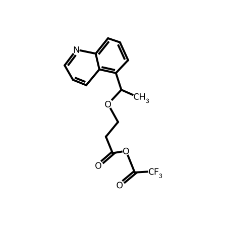 CC(OCCC(=O)OC(=O)C(F)(F)F)c1cccc2ncccc12